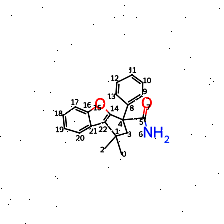 CC1(C)CC(C(N)=O)(c2ccccc2)c2oc3ccccc3c21